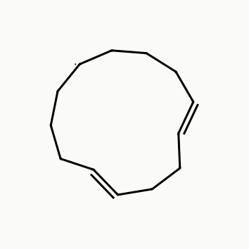 [CH]1CCC/C=C/CC/C=C/CCC1